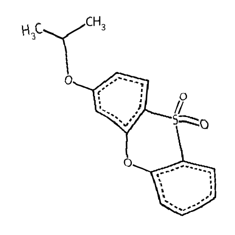 CC(C)Oc1ccc2c(c1)Oc1ccccc1S2(=O)=O